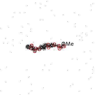 C=C(CC(=O)OC)C(=O)OCCCOc1ccc(C(=O)Oc2ccc3c(c2)C(C)c2cc(OCCOC(=O)C(=C)CC(=O)OC4CCCCC4)ccc2-3)cc1